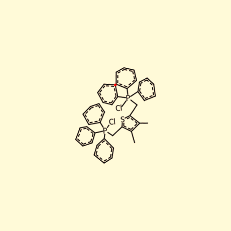 Cc1c(CP(Cl)(c2ccccc2)(c2ccccc2)c2ccccc2)sc(CP(Cl)(c2ccccc2)(c2ccccc2)c2ccccc2)c1C